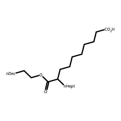 CCCCCCCCCCCCOC(=O)C(CCCCCCC)CCCCCCCC(=O)O